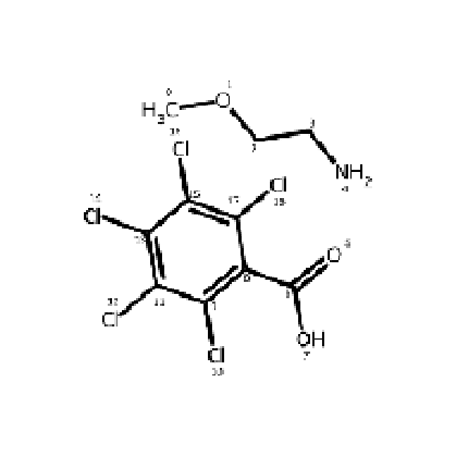 COCCN.O=C(O)c1c(Cl)c(Cl)c(Cl)c(Cl)c1Cl